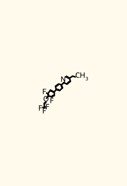 CCCc1ccc(-c2ccc(-c3cc(F)c(O/C=C/C(F)(F)F)c(F)c3)cc2)nc1